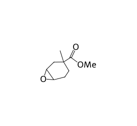 COC(=O)C1(C)CCC2OC2C1